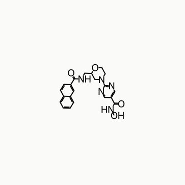 O=C(NO)c1cnc(N2CCOC(CNC(=O)c3ccc4ccccc4c3)C2)nc1